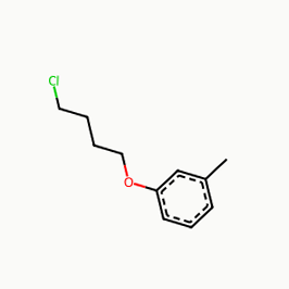 Cc1cccc(OCCCCCl)c1